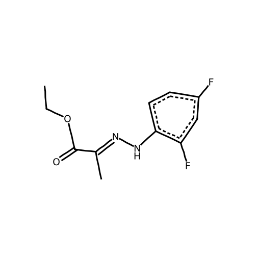 CCOC(=O)/C(C)=N/Nc1ccc(F)cc1F